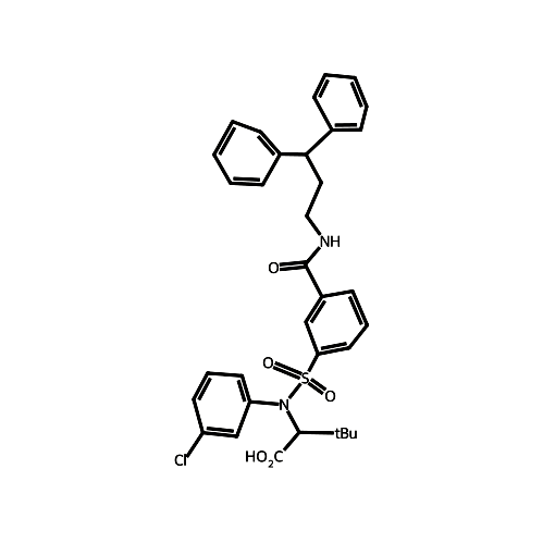 CC(C)(C)C(C(=O)O)N(c1cccc(Cl)c1)S(=O)(=O)c1cccc(C(=O)NCCC(c2ccccc2)c2ccccc2)c1